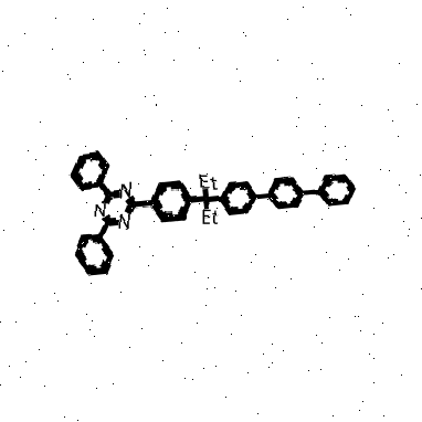 CCC(CC)(c1ccc(-c2ccc(-c3ccccc3)cc2)cc1)c1ccc(-c2nc(-c3ccccc3)nc(-c3ccccc3)n2)cc1